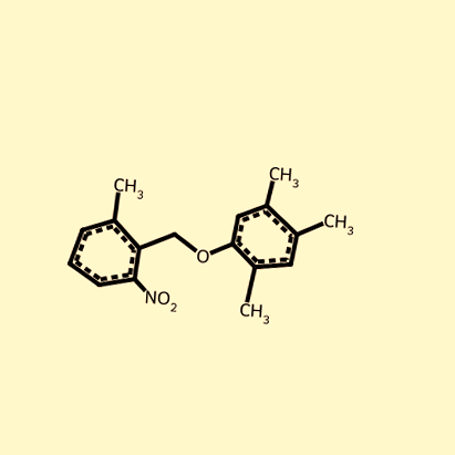 Cc1cc(C)c(OCc2c(C)cccc2[N+](=O)[O-])cc1C